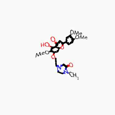 COc1ccc(-c2cc(=O)c3c(O)c(OC)c(OCCN4CCN(C)C(=O)C4)cc3o2)cc1OC